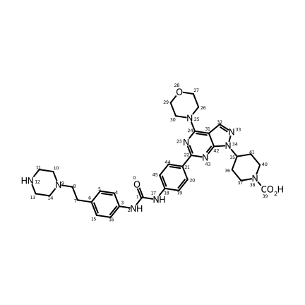 O=C(Nc1ccc(CCN2CCNCC2)cc1)Nc1ccc(-c2nc(N3CCOCC3)c3cnn(C4CCN(C(=O)O)CC4)c3n2)cc1